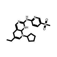 CCC1=CN(C2CCCC2)C2NC(Nc3ccc(S(C)(=O)=O)cn3)=NC=C2C1